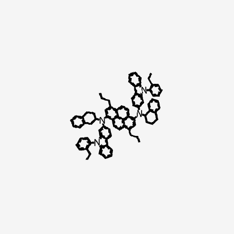 CCCc1cc(N(c2ccc3c4ccccc4n(-c4ccccc4CC)c3c2)C2CCc3ccccc3C2)c2ccc3c(CCC)cc(N(c4ccc5c6ccccc6n(-c6ccccc6CC)c5c4)C4CCCc5ccccc54)c4ccc1c2c34